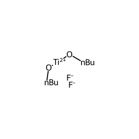 CCCC[O][Ti+2][O]CCCC.[F-].[F-]